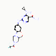 NC(=O)c1cnc(Nc2ccc3c(c2)OC[C@@H]2CN(C(=O)C(F)(F)F)CCN32)nc1NC1CC1